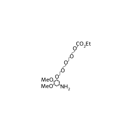 CCOC(=O)COCCOCCOCCOCCOc1cc(N)cc(OC)c1OC